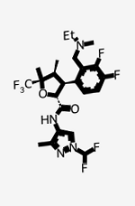 CCN(C)Cc1c([C@H]2[C@H](C(=O)Nc3cn(C(F)F)nc3C)O[C@@](C)(C(F)(F)F)[C@H]2C)ccc(F)c1F